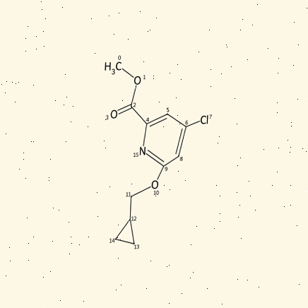 COC(=O)c1cc(Cl)cc(OCC2CC2)n1